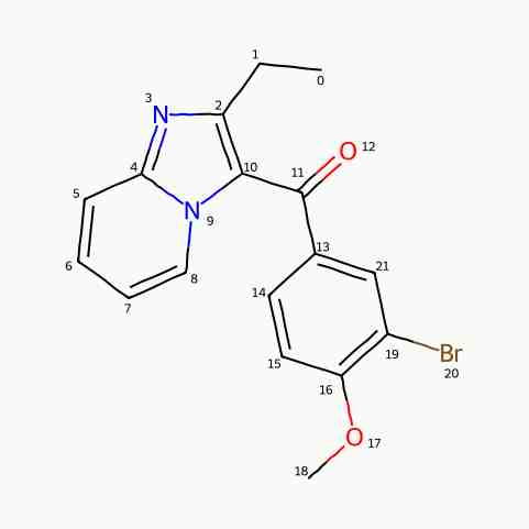 CCc1nc2ccccn2c1C(=O)c1ccc(OC)c(Br)c1